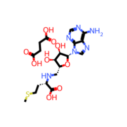 CSCC[C@H](NC[C@H]1O[C@@H](n2cnc3c(N)ncnc32)[C@H](O)[C@@H]1O)C(=O)O.O=C(O)CCC(=O)O